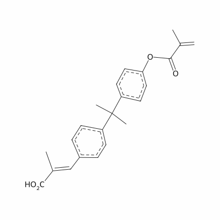 C=C(C)C(=O)Oc1ccc(C(C)(C)c2ccc(C=C(C)C(=O)O)cc2)cc1